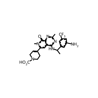 Cc1nc(NC(C)c2cc(N)cc(C(F)(F)F)c2)c2cc(C3=CCN(C(=O)O)CC3)n(C)c(=O)c2n1